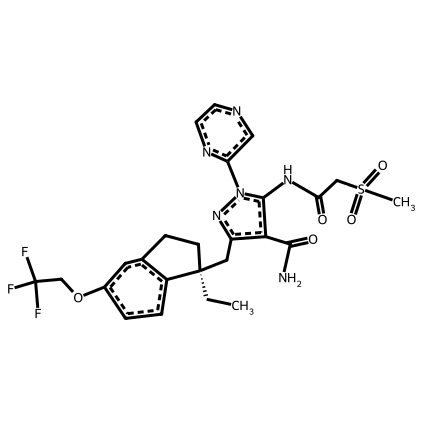 CC[C@@]1(Cc2nn(-c3cnccn3)c(NC(=O)CS(C)(=O)=O)c2C(N)=O)CCc2cc(OCC(F)(F)F)ccc21